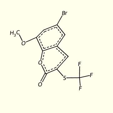 COc1cc(Br)cc2cc(SC(F)(F)F)c(=O)oc12